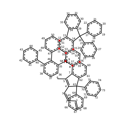 C=C/C=C\C1=C(C)c2c(N(c3ccc4c(c3)C(c3ccccc3)(c3ccccc3)c3ccccc3-4)c3cccc(-c4ccccc4)c3-c3ccccc3-c3ccccc3)cccc2C1(c1ccccc1)c1ccccc1